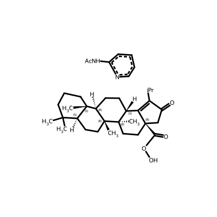 CC(=O)Nc1ccccn1.CC(C)C1=C2[C@H]3CC[C@@H]4[C@@]5(C)CCCC(C)(C)[C@@H]5CC[C@@]4(C)[C@]3(C)CC[C@@]2(C(=O)OO)CC1=O